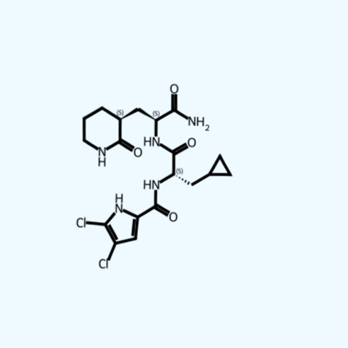 NC(=O)[C@H](C[C@@H]1CCCNC1=O)NC(=O)[C@H](CC1CC1)NC(=O)c1cc(Cl)c(Cl)[nH]1